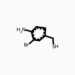 Nc1ccc(CS)cc1Br